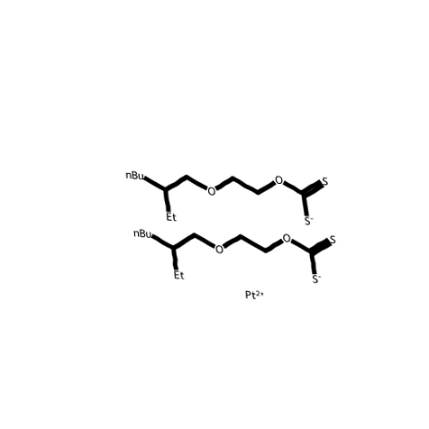 CCCCC(CC)COCCOC(=S)[S-].CCCCC(CC)COCCOC(=S)[S-].[Pt+2]